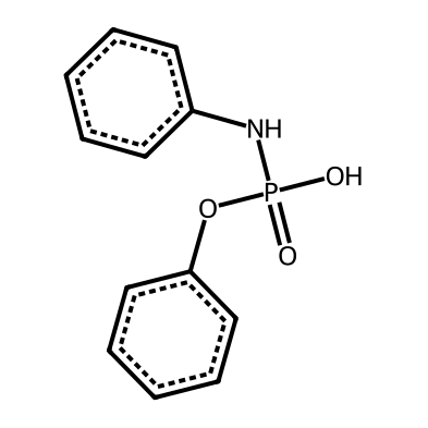 O=P(O)(Nc1ccccc1)Oc1ccccc1